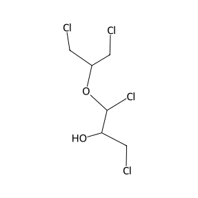 OC(CCl)C(Cl)OC(CCl)CCl